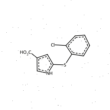 O=C(O)c1c[nH]c(Sc2ccccc2Cl)c1